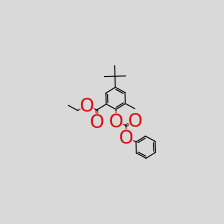 CCOC(=O)c1cc(C(C)(C)C)cc(C)c1OC(=O)Oc1ccccc1